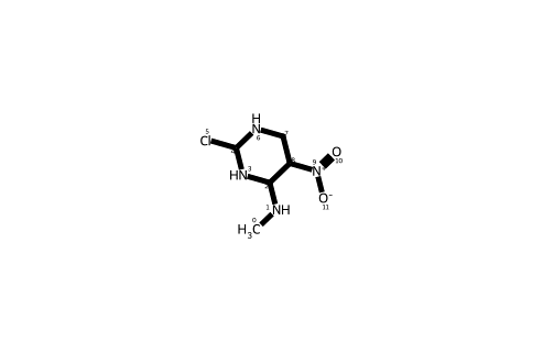 CNC1NC(Cl)NCC1[N+](=O)[O-]